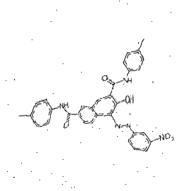 Cc1ccc(NC(=O)c2ccc3c(/N=N/c4cccc([N+](=O)[O-])c4)c(O)c(C(=O)Nc4ccc(C)cc4)cc3c2)cc1